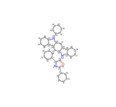 c1ccc(-c2nc(-c3ccccc3)c(-n3c4ccccc4c4cc5c(cc43)c3ccccc3n5-c3ccccc3)o2)cc1